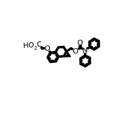 O=C(O)COc1cccc2c1CCC1(COC(=O)N(c3ccccc3)c3ccccc3)CC21